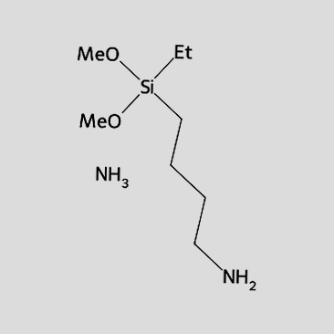 CC[Si](CCCCN)(OC)OC.N